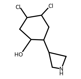 OC1CC(Cl)C(Cl)CC1C1CNC1